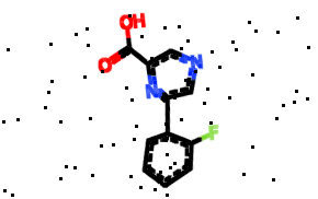 O=C(O)c1cncc(-c2ccccc2F)n1